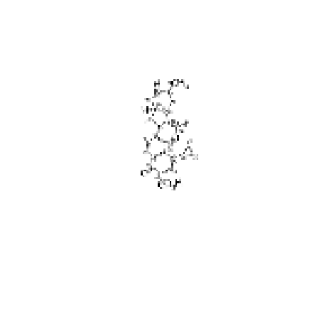 C[C@H]1CN2CC(c3ccc4c(=O)c(C(=O)O)cn(C5CC5)c4c3OC(F)F)C[C@H]2CN1